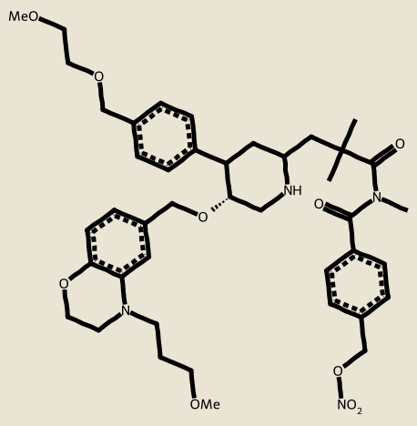 COCCCN1CCOc2ccc(CO[C@H]3CNC(CC(C)(C)C(=O)N(C)C(=O)c4ccc(CO[N+](=O)[O-])cc4)CC3c3ccc(COCCOC)cc3)cc21